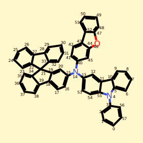 c1ccc(-n2c3ccccc3c3cc(N(c4ccc5c(c4)C4(c6ccccc6-c6ccccc64)c4ccccc4-5)c4ccc5c(c4)oc4ccccc45)ccc32)cc1